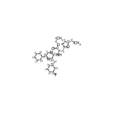 CCOC(=O)C(Cc1ccc(CC)o1)Nc1ncc(-c2ccccc2)nc1Cc1cccc(F)c1